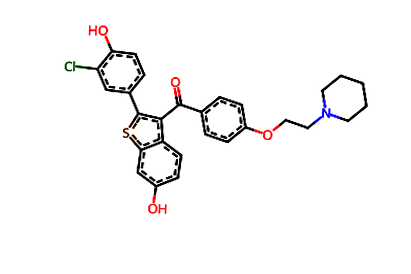 O=C(c1ccc(OCCN2CCCCC2)cc1)c1c(-c2ccc(O)c(Cl)c2)sc2cc(O)ccc12